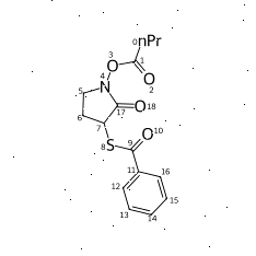 CCCC(=O)ON1CCC(SC(=O)c2ccccc2)C1=O